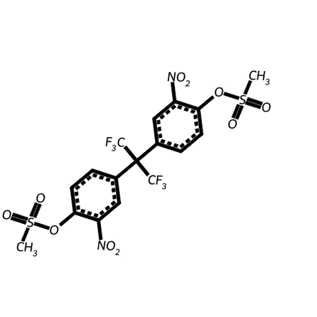 CS(=O)(=O)Oc1ccc(C(c2ccc(OS(C)(=O)=O)c([N+](=O)[O-])c2)(C(F)(F)F)C(F)(F)F)cc1[N+](=O)[O-]